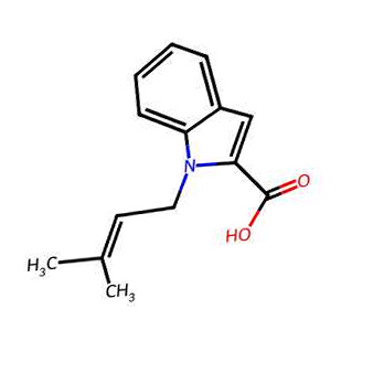 CC(C)=CCn1c(C(=O)O)cc2ccccc21